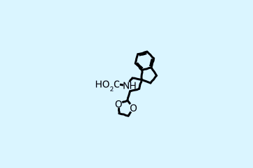 O=C(O)NCC1(CCC2OCCO2)CCc2ccccc21